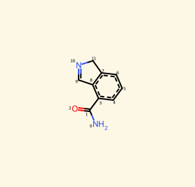 NC(=O)c1cccc2c1C=NC2